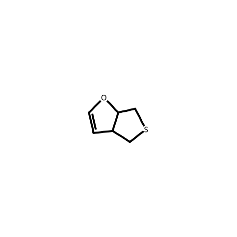 C1=CC2CSCC2O1